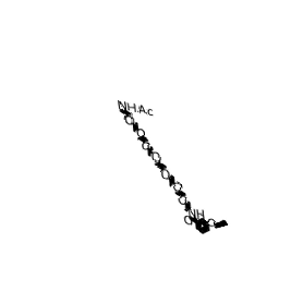 C#CCOc1cccc(C(=O)NCCOCCOCCOCCOCCOCCOCCOCCNC(C)=O)c1